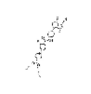 CCCCOC(OCCCC)C1CCN(c2ccc(C(=O)NC3CCC(c4ccc(Cl)c5c(C#N)c[nH]c45)CC3)c(F)c2)CC1